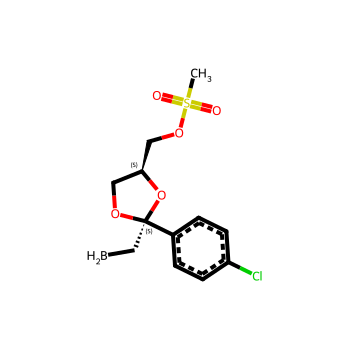 BC[C@]1(c2ccc(Cl)cc2)OC[C@@H](COS(C)(=O)=O)O1